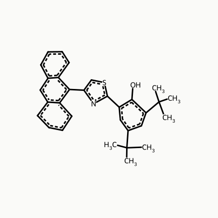 CC(C)(C)c1cc(-c2nc(-c3c4ccccc4cc4ccccc34)cs2)c(O)c(C(C)(C)C)c1